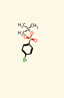 C[Si](C)(C)OS(=O)(=O)c1ccc(Br)cc1